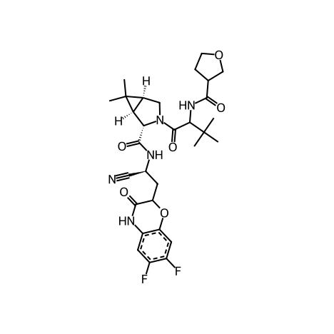 CC(C)(C)C(NC(=O)C1CCOC1)C(=O)N1C[C@H]2[C@@H]([C@H]1C(=O)N[C@H](C#N)CC1Oc3cc(F)c(F)cc3NC1=O)C2(C)C